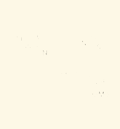 COC(=O)c1cc(OC2CCN(C(=O)OC(C)(C)C)CC2)cc(-c2ncc(C)s2)c1